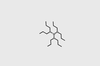 CCC[N](CCC)[Al]([N](CCC)CCC)[N](CCC)CCC